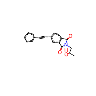 CC(O)CN1C(=O)c2ccc(C#Cc3ccccc3)cc2C1=O